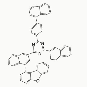 C1=C(c2nc(-c3ccc(-c4cccc5ccccc45)cc3)nc(-c3cc(-c4cccc5oc6ccccc6c45)c4ccccc4c3)n2)CCc2ccccc21